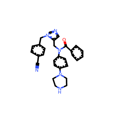 N#Cc1ccc(Cn2cncc2CN(C(=O)c2ccccc2)c2ccc(N3CCNCC3)cc2)cc1